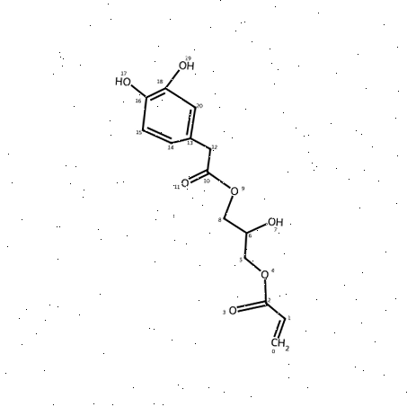 C=CC(=O)OCC(O)COC(=O)Cc1ccc(O)c(O)c1